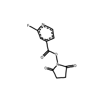 O=C(ON1C(=O)CCC1=O)c1ccnc(F)c1